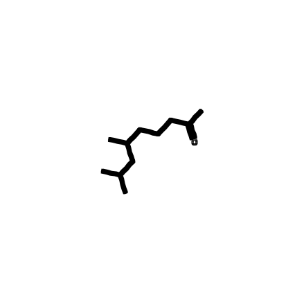 CC(=O)CCCC(C)CC(C)C